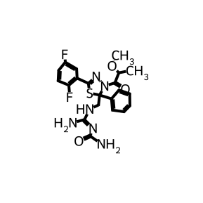 COC(C)C(=O)N1N=C(c2cc(F)ccc2F)SC1(CNC(N)=NC(N)=O)c1ccccc1